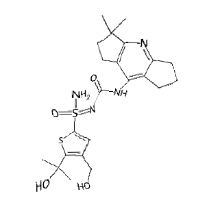 CC(C)(O)c1sc(S(N)(=O)=NC(=O)Nc2c3c(nc4c2CCC4(C)C)CCC3)cc1CO